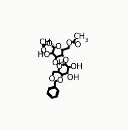 CC(=O)OCC1OC(OC(C)=O)C(O)C(O)C1OC1OC2COC(c3ccccc3)OC2C(O)C1O